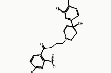 Cc1ccc(C2(O)CCN(CCCC(=O)c3ccc(F)cc3[N+](=O)[O-])CC2)cc1Cl